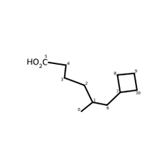 CC(CCCC(=O)O)CC1CCC1